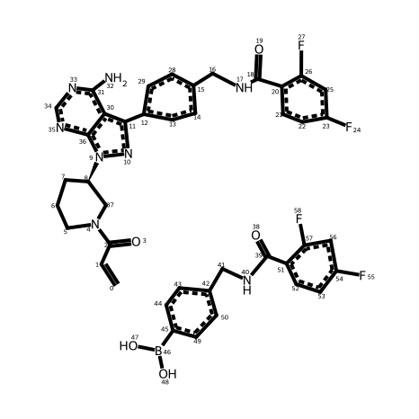 C=CC(=O)N1CCC[C@@H](n2nc(-c3ccc(CNC(=O)c4ccc(F)cc4F)cc3)c3c(N)ncnc32)C1.O=C(NCc1ccc(B(O)O)cc1)c1ccc(F)cc1F